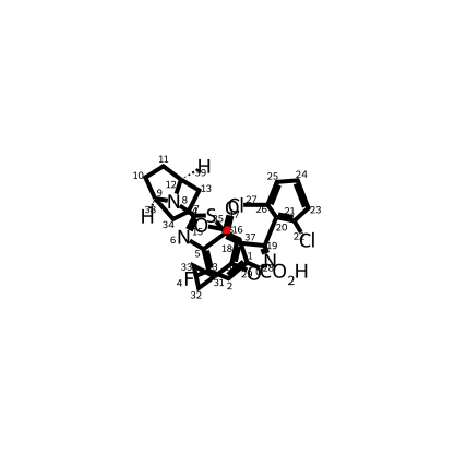 O=C(O)c1cc(F)c2nc(N3[C@@H]4CC[C@H]3C[C@H](OC(=O)c3c(-c5c(Cl)cccc5Cl)noc3C3CC3)C4)sc2c1